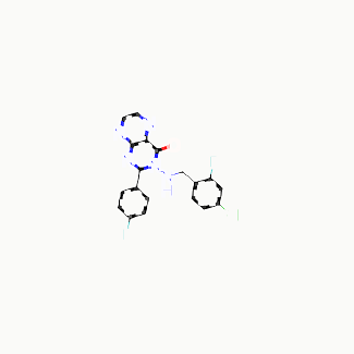 O=c1c2nccnc2nc(-c2ccc(F)cc2)n1NCc1ccc(Cl)cc1F